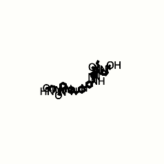 C=CCn1c(=O)c2cnc(Nc3ccc(N4CCC(CN5CCN(c6cccc7c6n(C)c(=O)n7C6CCC(=O)NC6)CC5)CC4)cc3)nc2n1-c1cccc(C(C)(C)O)n1